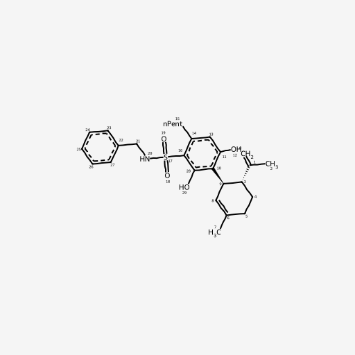 C=C(C)[C@@H]1CCC(C)=C[C@H]1c1c(O)cc(CCCCC)c(S(=O)(=O)NCc2ccccc2)c1O